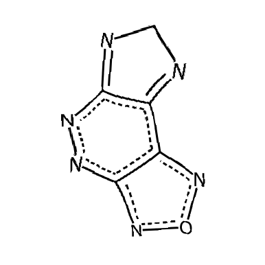 C1N=c2nnc3nonc3c2=N1